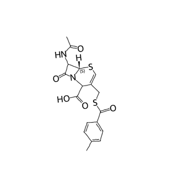 CC(=O)NC1C(=O)N2C(C(=O)O)C(CSC(=O)c3ccc(C)cc3)=CS[C@@H]12